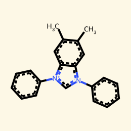 Cc1cc2c(cc1C)[n+](-c1ccccc1)cn2-c1ccccc1